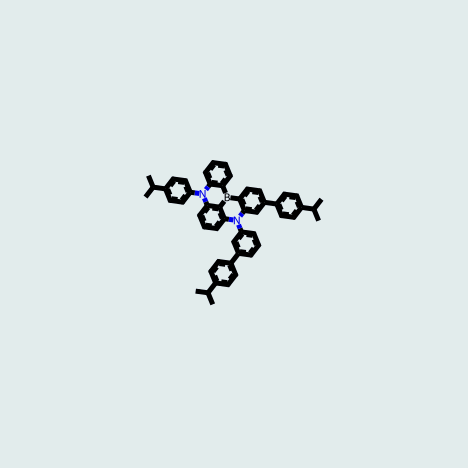 CC(C)c1ccc(-c2cccc(N3c4cc(-c5ccc(C(C)C)cc5)ccc4B4c5ccccc5N(c5ccc(C(C)C)cc5)c5cccc3c54)c2)cc1